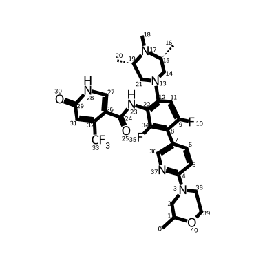 CC1CN(c2ccc(-c3c(F)cc(N4C[C@@H](C)N(C)[C@@H](C)C4)c(NC(=O)c4c[nH]c(=O)cc4C(F)(F)F)c3F)cn2)CCO1